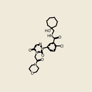 O=C(NCC1(O)CCCCCC1)c1cc(-n2ncc(=O)n(CC(=O)N3CCOCC3)c2=O)ccc1Cl